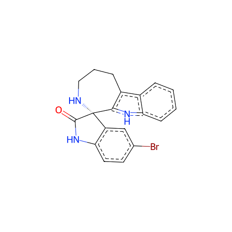 O=C1Nc2ccc(Br)cc2[C@@]12NCCCc1c2[nH]c2ccccc12